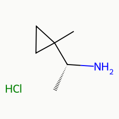 C[C@@H](N)C1(C)CC1.Cl